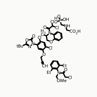 C#CCOc1cc(-n2nc(C(C)(C)C)oc2=O)c(Cl)cc1Cl.CC1COc2ccccc2N1C(=O)C(Cl)Cl.CCc1cccc(CC)c1N(COC)C(=O)CCl.O=C(O)CNCP(=O)(O)O